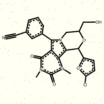 Cn1c(=O)c2c(-c3cccc(C#N)c3)n3c(c2n(C)c1=O)C(c1ccc(Cl)o1)OC(CO)C3